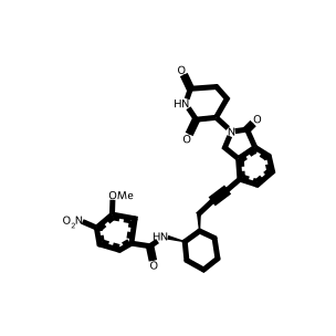 COc1cc(C(=O)N[C@@H]2CCCC[C@@H]2CC#Cc2cccc3c2CN(C2CCC(=O)NC2=O)C3=O)ccc1[N+](=O)[O-]